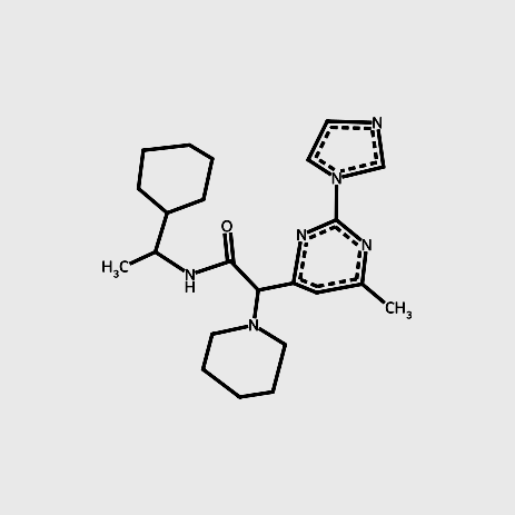 Cc1cc(C(C(=O)NC(C)C2CCCCC2)N2CCCCC2)nc(-n2ccnc2)n1